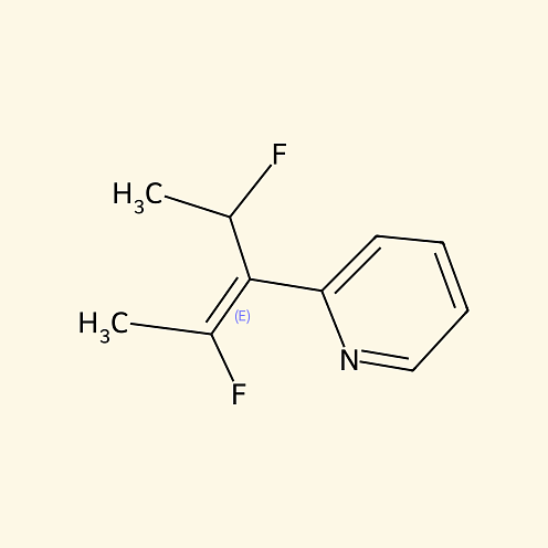 C/C(F)=C(/c1ccccn1)C(C)F